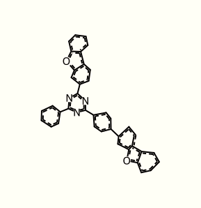 c1ccc(-c2nc(-c3ccc(-c4ccc5c(c4)oc4ccccc45)cc3)nc(-c3ccc4c(c3)oc3ccccc34)n2)cc1